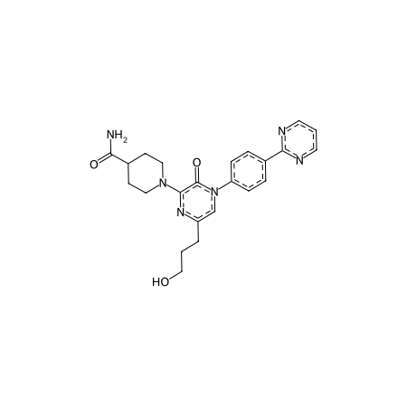 NC(=O)C1CCN(c2nc(CCCO)cn(-c3ccc(-c4ncccn4)cc3)c2=O)CC1